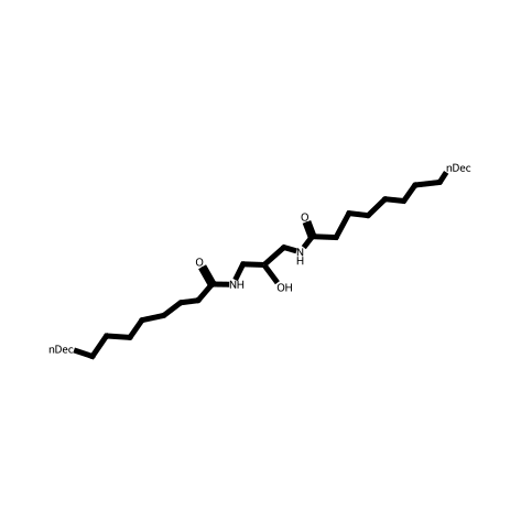 CCCCCCCCCCCCCCCCCC(=O)NCC(O)CNC(=O)CCCCCCCCCCCCCCCCC